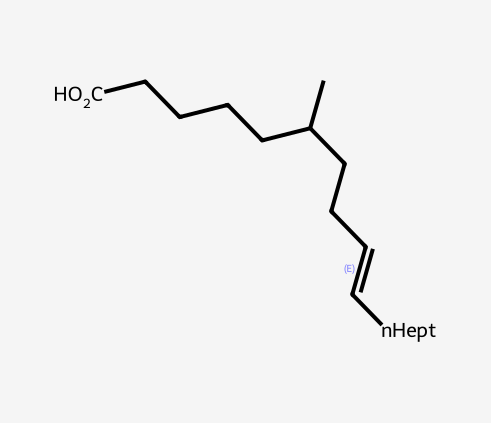 CCCCCCC/C=C/CCC(C)CCCCC(=O)O